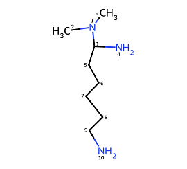 CN(C)C(N)CCCCCN